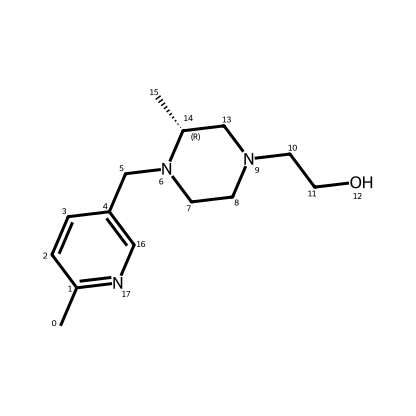 Cc1ccc(CN2CCN(CCO)C[C@H]2C)cn1